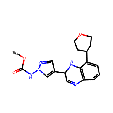 CC(C)(C)OC(=O)Nn1cc(C2C=Nc3cccc(C4CCOCC4)c3N2)cn1